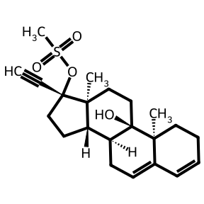 C#C[C@]1(OS(C)(=O)=O)CC[C@H]2[C@@H]3CC=C4C=CCC[C@]4(C)[C@@]3(O)CC[C@@]21C